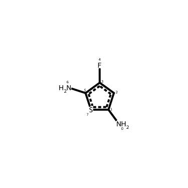 Nc1cc(F)c(N)s1